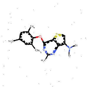 CCN(CC)c1csc2c(Oc3c(C)cc(C)cc3C)nc(C)nc12